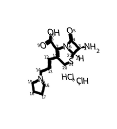 Cl.Cl.N[C@@H]1C(=O)N2C(C(=O)O)=C(/C=C/CN3CCCC3)CS[C@H]12